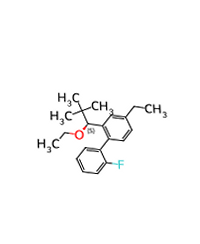 CCO[C@H](c1cc(CC)ccc1-c1ccccc1F)C(C)(C)C